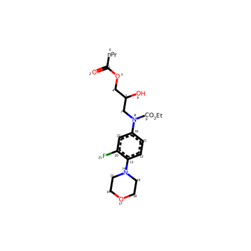 CCCC(=O)OCC(O)CN(C(=O)OCC)c1ccc(N2CCOCC2)c(F)c1